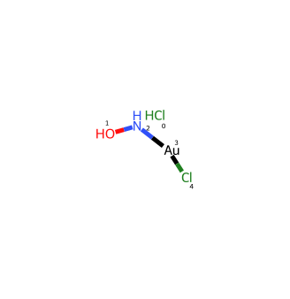 Cl.O[NH][Au][Cl]